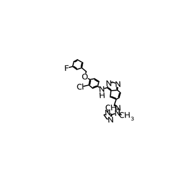 CN1CCN=C1N(C)/N=C/c1ccc2ncnc(Nc3ccc(OCc4cccc(F)c4)c(Cl)c3)c2c1